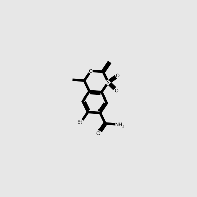 C=C1OC(C)c2cc(CC)c(C(N)=O)cc2S1(=O)=O